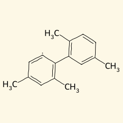 Cc1c[c]c(-c2cc(C)ccc2C)c(C)c1